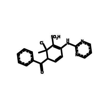 CC1(Cl)C(S(=O)(=O)O)=C(Nc2ncccn2)C=CC1C(=O)c1ccccc1